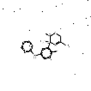 C[C@]1(c2cc(Nc3ncccn3)ccc2F)N=C(N)CO[C@@H]1F